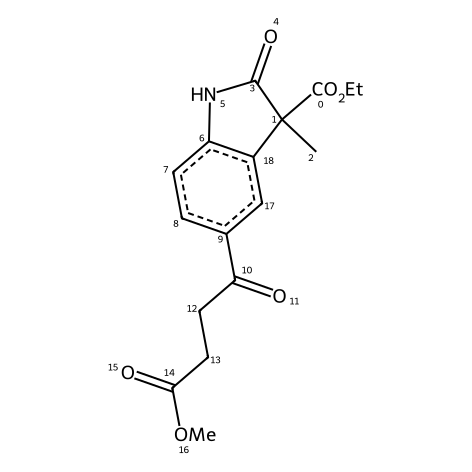 CCOC(=O)C1(C)C(=O)Nc2ccc(C(=O)CCC(=O)OC)cc21